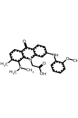 COc1ccccc1Nc1ccc2c(=O)c3ccc(C)c(N(C)C)c3n(CC(=O)O)c2c1